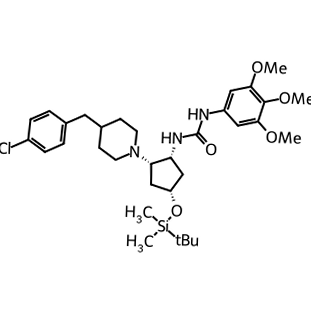 COc1cc(NC(=O)N[C@@H]2C[C@H](O[Si](C)(C)C(C)(C)C)C[C@@H]2N2CCC(Cc3ccc(Cl)cc3)CC2)cc(OC)c1OC